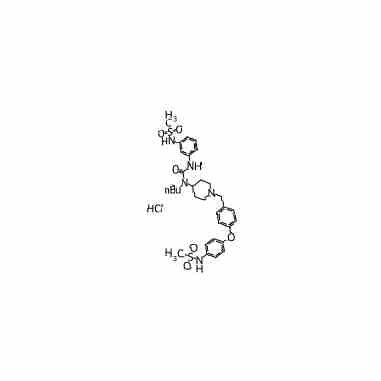 CCCCN(C(=O)Nc1cccc(NS(C)(=O)=O)c1)C1CCN(Cc2ccc(Oc3ccc(NS(C)(=O)=O)cc3)cc2)CC1.Cl